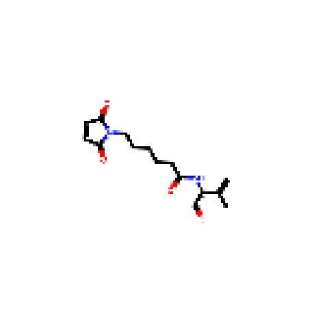 C=C(C)[C@@H](C=O)NC(=O)CCCCCN1C(=O)C=CC1=O